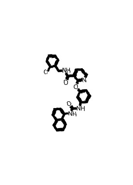 O=C(Nc1cccc(Oc2ncccc2C(=O)NCc2ccccc2Cl)c1)Nc1cccc2ccccc12